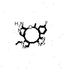 CCn1ncc2c1-c1cnc(N)c(c1)OC(C)c1cc(F)ccc1-c1nsnc1C2